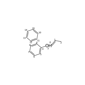 C=CC.Oc1ccccc1.c1ccccc1